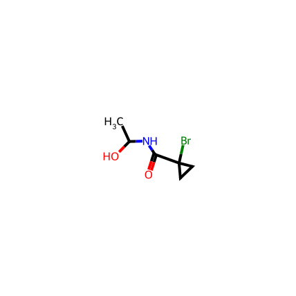 CC(O)NC(=O)C1(Br)CC1